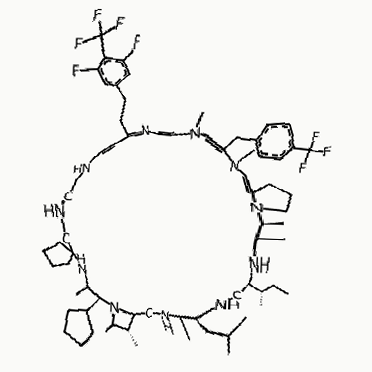 CC[C@H](C)[C@H]1CN[C@@H](CC(C)C)C(C)NCC2[C@H](C)C(C)N2[C@@H](C2CCCC2)C(C)NC2(CCCC2)CNCCNC=CC(CCc2cc(F)c(C(F)(F)F)c(F)c2)=NC=CN(C)C=C(Cc2ccc(C(F)(F)F)cc2)N(C)C=C2CCCN2[C@@H](C)C(C)N1